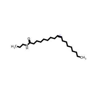 CC[CH]NC(=O)CCCCCCC/C=C\CCCCCCCC